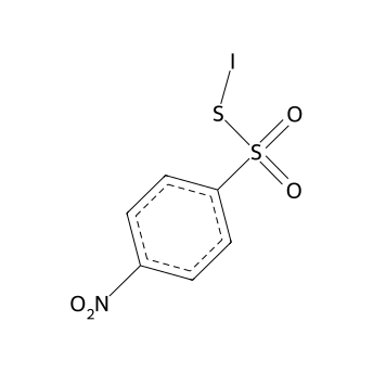 O=[N+]([O-])c1ccc(S(=O)(=O)SI)cc1